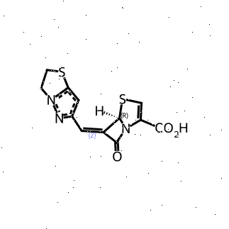 O=C(O)C1=CS[C@@H]2/C(=C\c3cc4n(n3)CCS4)C(=O)N12